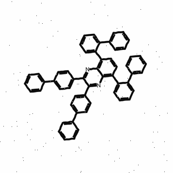 c1ccc(-c2ccc(-c3nc4c(-c5ccccc5-c5ccccc5)ccc(-c5ccccc5-c5ccccc5)c4nc3-c3ccc(-c4ccccc4)cc3)cc2)cc1